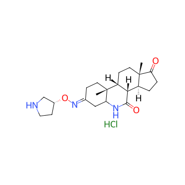 C[C@]12CCC(=NO[C@@H]3CCNC3)CC1NC(=O)[C@@H]1[C@H]2CC[C@]2(C)C(=O)CC[C@@H]12.Cl